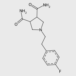 NC(=O)C1CN(CCc2ccc(F)cc2)CC1C(N)=O